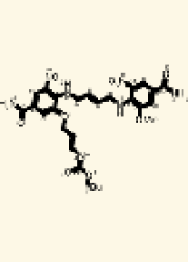 CCCCOC(=O)NCCCOc1cc(C(N)=O)cc([N+](=O)[O-])c1NC/C=C/CNc1c(OC)cc(C(N)=O)cc1[N+](=O)[O-]